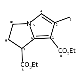 CCOC(=O)c1c(C)cn2c1C(C(=O)OCC)CC2